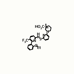 CCOc1ccccc1-c1nc(NSc2cccc(N3CCC[C@@](C)(C(=O)O)C3)n2)ccc1C(F)(F)F